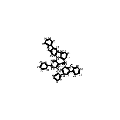 N#Cc1c(-n2c3ccccc3c3cc4c(cc32)sc2ccccc24)nc(-c2ccccc2)nc1-n1c2ccccc2c2cc3c(cc21)sc1ccccc13